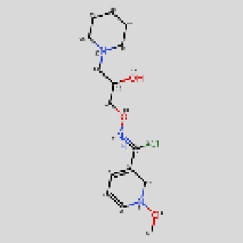 CON1C=CC=C(/C(Cl)=N/OCC(O)CN2CCCCC2)C1